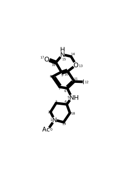 CC(=O)N1CCC(Nc2ccc3c(c2I)OCNC3=O)CC1